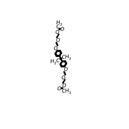 CC(=O)OCCOCCOc1ccc(C(C)(C)c2ccc(OCCOCCOC(C)=O)cc2)cc1